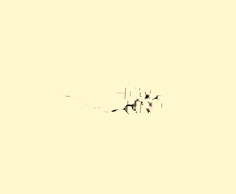 CCCCCCCCCCC#Cc1csc(C(O)C(NC(C)=O)C(=O)OCC)c1